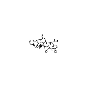 CC(C)(C)[C@@H](Nc1c(Nc2ccc(F)c3c2C(C)(O)N(c2ccccc2C(=O)O)C3)c(=O)c1=O)c1ccc(Cl)o1